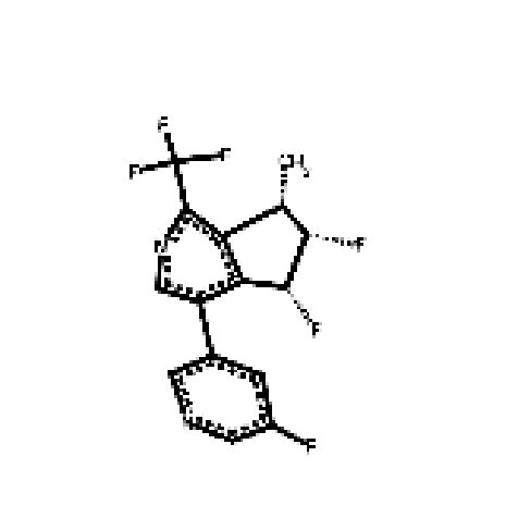 C[C@H]1c2c(C(F)(F)F)ncc(-c3cncc(F)c3)c2[C@@H](F)[C@H]1F